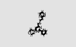 c1ccc(-c2nc(CSCCc3cnccn3)cc(N3CCOCC3)n2)nc1